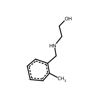 Cc1c[c]ccc1CNCCO